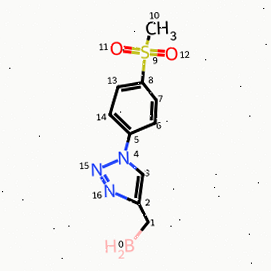 BCc1cn(-c2ccc(S(C)(=O)=O)cc2)nn1